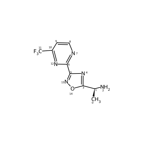 C[C@H](N)c1nc(-c2nccc(C(F)(F)F)n2)no1